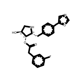 O=C(Cc1cccc(F)c1)O[C@@H]1[C@@H](O)CN[C@@H]1Cc1ccc(-c2cnco2)cc1